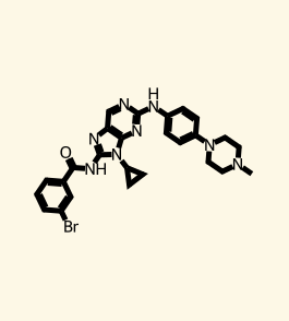 CN1CCN(c2ccc(Nc3ncc4nc(NC(=O)c5cccc(Br)c5)n(C5CC5)c4n3)cc2)CC1